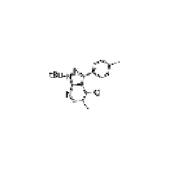 Cc1ccc(-c2nn(C(C)(C)C)c3ncc(C)c(Cl)c23)cc1